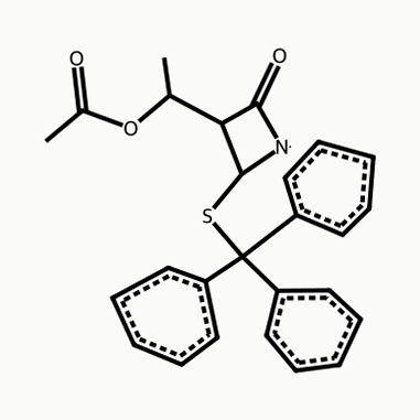 CC(=O)OC(C)C1C(=O)[N]C1SC(c1ccccc1)(c1ccccc1)c1ccccc1